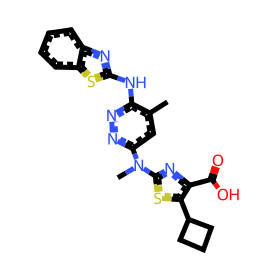 Cc1cc(N(C)c2nc(C(=O)O)c(C3CCC3)s2)nnc1Nc1nc2ccccc2s1